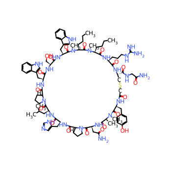 CCCC[C@H]1C(=O)N(C)[C@@H](CCCC)C(=O)N[C@@H](CCCNC(=N)N)C(=O)N[C@H](C(=O)NCC(N)=O)CSCC(=O)N[C@@H](Cc2ccc(O)cc2)C(=O)N(C)[C@@H](C)C(=O)N[C@@H](CC(N)=O)C(=O)N2CCC[C@H]2C(=O)N[C@@H](Cc2cnc[nH]2)C(=O)N[C@@H](CC(C)C)C(=O)N2CCC[C@H]2C(=O)N[C@@H](Cc2c[nH]c3ccccc23)C(=O)N[C@@H](CO)C(=O)N[C@@H](Cc2c[nH]c3ccccc23)C(=O)N1C